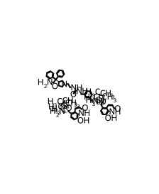 CC(C)(C)[Si](C)(C)O[C@@H](CN)c1ccc(O)c2[nH]c(=O)ccc12.CC(C)(C)[Si](C)(C)O[C@@H](CNCc1cccc(CNC(=O)NCCN2CC[C@@H](C(C(N)=O)(c3ccccc3)c3ccccc3)C2)c1)c1ccc(O)c2[nH]c(=O)ccc12